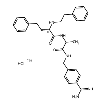 CC(NC(=O)[C@@H](CCc1ccccc1)NCCc1ccccc1)C(=O)NCc1ccc(C(=N)N)cc1.Cl.Cl